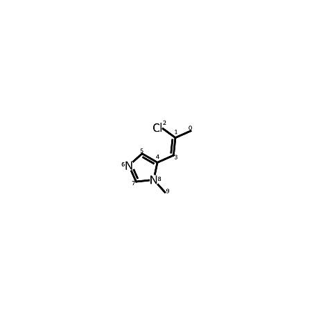 C/C(Cl)=C/c1cncn1C